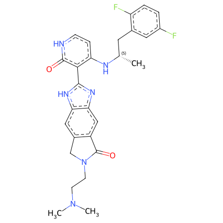 C[C@@H](Cc1cc(F)ccc1F)Nc1cc[nH]c(=O)c1-c1nc2cc3c(cc2[nH]1)CN(CCN(C)C)C3=O